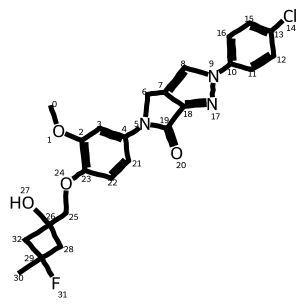 COc1cc(N2Cc3cn(-c4ccc(Cl)cc4)nc3C2=O)ccc1OCC1(O)CC(C)(F)C1